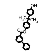 CC(C)(c1ccc(O)cc1)c1ccc(OC(=O)c2cccc(-c3ccccc3)c2)cc1